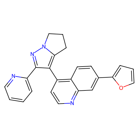 c1ccc(-c2nn3c(c2-c2ccnc4cc(-c5ccco5)ccc24)CCC3)nc1